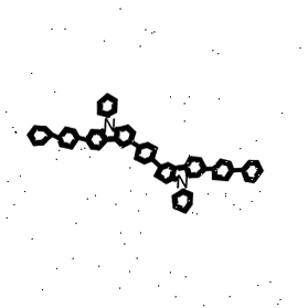 c1ccc(-c2ccc(-c3ccc4c5cc(-c6ccc(-c7ccc8c(c7)c7ccc(-c9ccc(-c%10ccccc%10)cc9)cc7n8-c7ccccc7)cc6)ccc5n(-c5ccccc5)c4c3)cc2)cc1